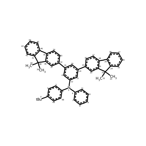 CC(C)(C)c1ccc(N(c2ccccc2)c2cc(-c3ccc4c(c3)C(C)(C)c3ccccc3-4)cc(-c3ccc4c(c3)C(C)(C)c3ccccc3-4)c2)cc1